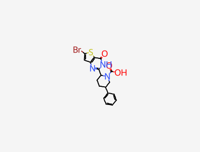 O=C(O)N1CC(c2ccccc2)CCC1c1nc2cc(Br)sc2c(=O)[nH]1